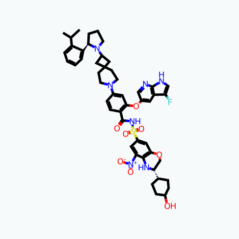 CC(C)c1ccccc1[C@H]1CCCN1C1CC2(CCN(c3ccc(C(=O)NS(=O)(=O)c4cc5c(c([N+](=O)[O-])c4)N[C@@H](C4CCC(O)CC4)CO5)c(Oc4cnc5[nH]cc(F)c5c4)c3)CC2)C1